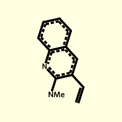 C=Cc1cc2ccccc2nc1NC